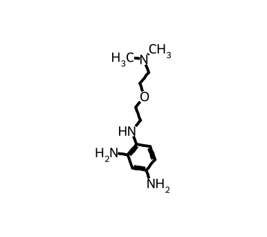 CN(C)CCOCCNc1ccc(N)cc1N